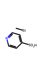 CCC.O=S(=O)(O)c1ccncc1